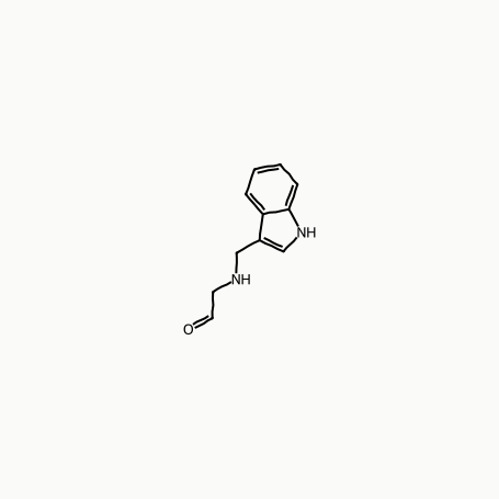 O=CCNCc1c[nH]c2ccccc12